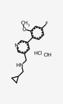 COc1cc(F)ccc1-c1cncc(CNCC2CC2)c1.Cl.Cl